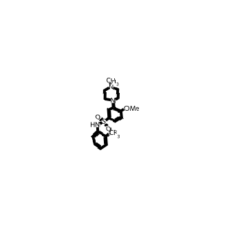 COc1ccc(S(=O)(=O)Nc2ccccc2C(F)(F)F)cc1N1CCN(C)CC1